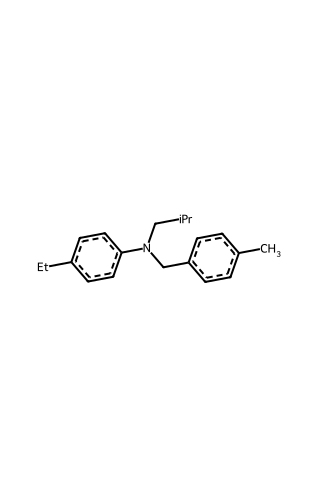 CCc1ccc(N(Cc2ccc(C)cc2)CC(C)C)cc1